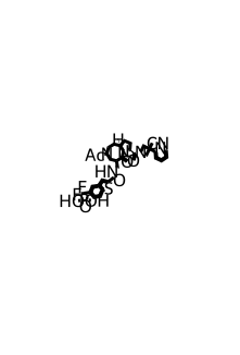 CC(=O)N1CC[C@H]2CC[C@@H](C(=O)N3CC(C#N)(c4ccccn4)C3)N2C(=O)C(CNC(=O)c2cc3cc(C(F)(F)P(=O)(O)O)ccc3s2)C1